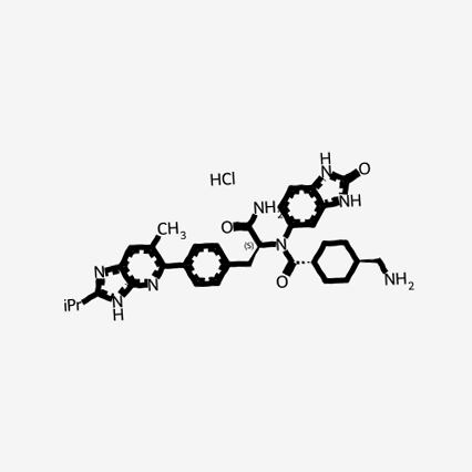 Cc1cc2nc(C(C)C)[nH]c2nc1-c1ccc(C[C@@H](C(N)=O)N(c2ccc3[nH]c(=O)[nH]c3c2)C(=O)[C@H]2CC[C@H](CN)CC2)cc1.Cl